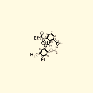 CCC(=O)N(O)c1cccc(C2CC2)c1COc1cc(C)c(CC)cc1C